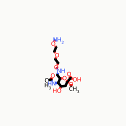 COC1(C(=O)O)CC(O)C(NC(C)=O)C(CNOCCOCCON)O1